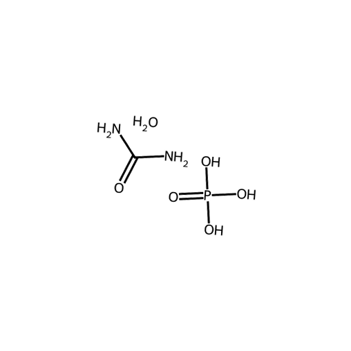 NC(N)=O.O.O=P(O)(O)O